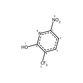 O=[N+]([O-])c1ccc(C(F)(F)F)c(O)n1